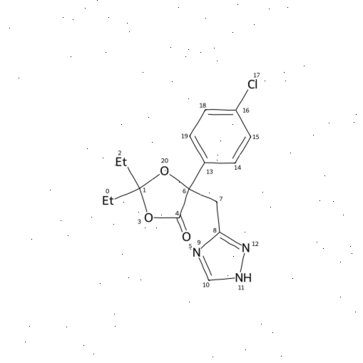 CCC1(CC)OC(=O)C(Cc2nc[nH]n2)(c2ccc(Cl)cc2)O1